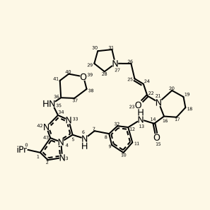 CC(C)c1cnn2c(NCc3cccc(NC(=O)C4CCCCN4C(=O)C=CCN4CCCC4)c3)nc(NC3CCOCC3)nc12